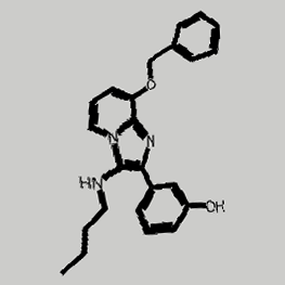 CCCCNc1c(-c2cccc(O)c2)nc2c(OCc3ccccc3)cccn12